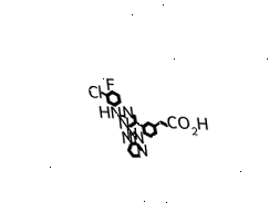 O=C(O)C=Cc1cccc(-c2cnc(Nc3ccc(F)c(Cl)c3)nc2-n2nc3cccnc3n2)c1